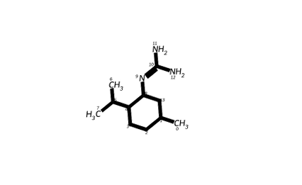 CC1CCC(C(C)C)C(N=C(N)N)C1